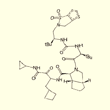 CC(C)(C)[C@H](NC(=O)N[C@H](CN1Cc2sccc2S1(=O)=O)C(C)(C)C)C(=O)N1C[C@@H]2CCC[C@@H]2[C@H]1C(=O)NC(CC1CCC1)C(=O)C(=O)NC1CC1